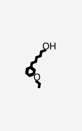 CCCOc1cccc(CCCCCCO)c1